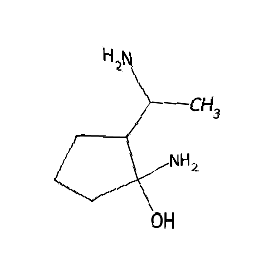 CC(N)C1CCCC1(N)O